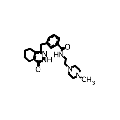 CN1CCN(CCNC(=O)c2cccc(Cc3n[nH]c(=O)c4c3CCCC4)c2)CC1